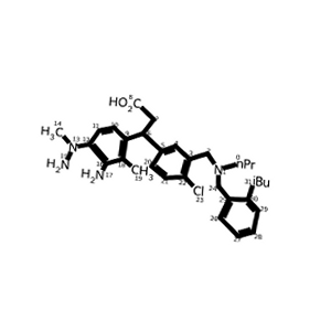 CCCN(Cc1cc(C(CC(=O)O)c2ccc(N(C)N)c(N)c2C)ccc1Cl)Cc1ccccc1C(C)CC